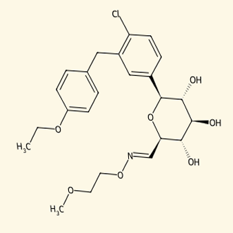 CCOc1ccc(Cc2cc([C@@H]3O[C@H](C=NOCCOC)[C@@H](O)[C@H](O)[C@H]3O)ccc2Cl)cc1